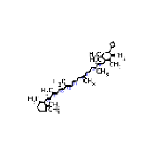 C=C1C(C)C(/C=C/C(C)=C/C=C/C(C)=C/C=C/C=C(C)/C=C/C=C(C)/C=C/C2C(C)CCCC2(C)C)C(C)(C)CC1C1CCC1